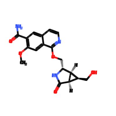 COc1cc2c(OC[C@H]3NC(=O)[C@@H]4[C@H](CO)[C@@H]43)nccc2cc1C(N)=O